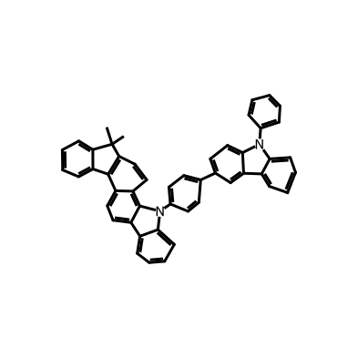 CC1(C)c2ccccc2-c2c1ccc1c2ccc2c3ccccc3n(-c3ccc(-c4ccc5c(c4)c4ccccc4n5-c4ccccc4)cc3)c12